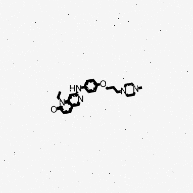 CCn1c(=O)ccc2cnc(Nc3ccc(OCCCN4CCN(C)CC4)cc3)cc21